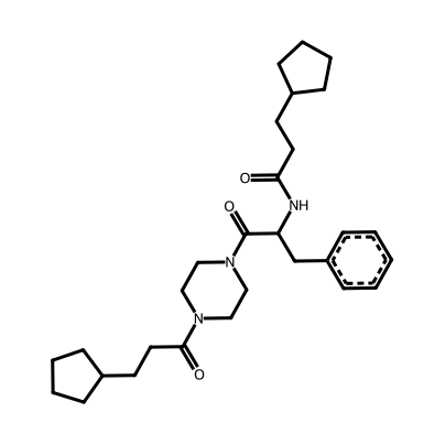 O=C(CCC1CCCC1)NC(Cc1ccccc1)C(=O)N1CCN(C(=O)CCC2CCCC2)CC1